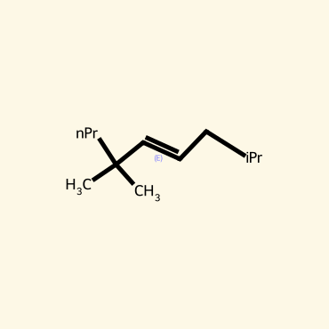 [CH2]C(C)C/C=C/C(C)(C)CCC